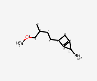 BOCC(C)CCC1CC2=C1C2B